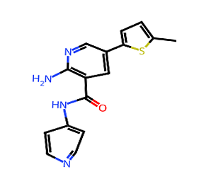 Cc1ccc(-c2cnc(N)c(C(=O)Nc3ccncc3)c2)s1